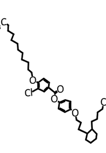 CCCCCCCCCCCCOc1ccc(C(=O)Oc2ccc(OCCCC3CCCCC3CCCCC)cc2)cc1Cl